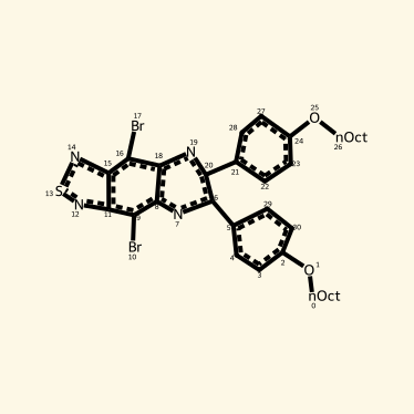 CCCCCCCCOc1ccc(-c2nc3c(Br)c4nsnc4c(Br)c3nc2-c2ccc(OCCCCCCCC)cc2)cc1